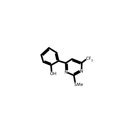 CSc1nc(-c2ccccc2O)cc(C(F)(F)F)n1